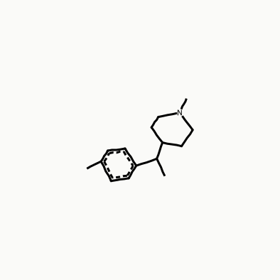 Cc1ccc(C(C)C2CCN(C)CC2)cc1